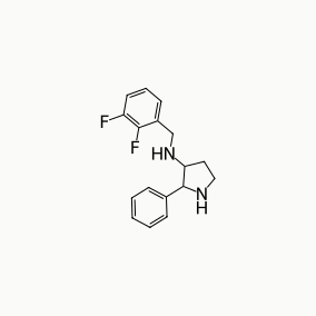 Fc1cccc(CNC2CCNC2c2ccccc2)c1F